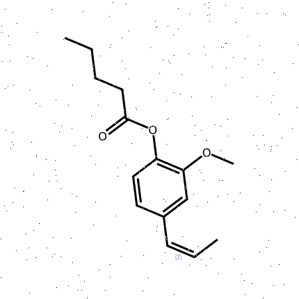 C/C=C\c1ccc(OC(=O)CCCC)c(OC)c1